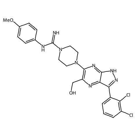 COc1ccc(NC(=N)N2CCN(c3nc4[nH]nc(-c5cccc(Cl)c5Cl)c4nc3CO)CC2)cc1